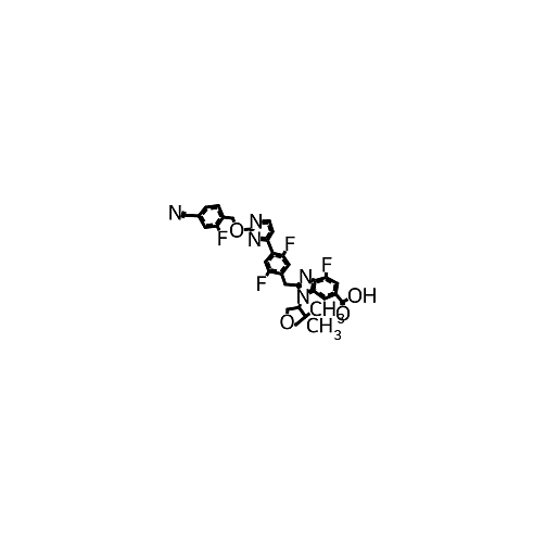 CC1(C)COCC1n1c(Cc2cc(F)c(-c3ccnc(OCc4ccc(C#N)cc4F)n3)cc2F)nc2c(F)cc(C(=O)O)cc21